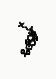 CC(=O)O[C@H]1CC[C@@]2(C)C(=CC[C@H]3[C@@H]4CC[C@H]([C@H](C)CCCC(C)(C)C)[C@@]4(C)CC[C@@H]32)C1